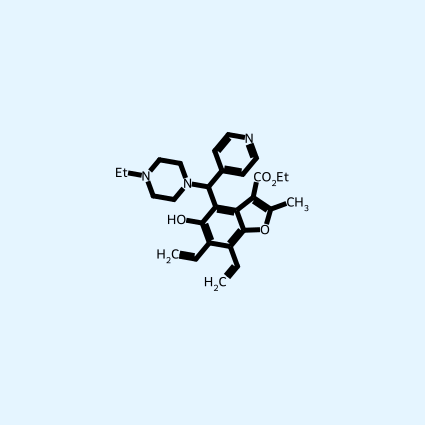 C=Cc1c(O)c(C(c2ccncc2)N2CCN(CC)CC2)c2c(C(=O)OCC)c(C)oc2c1C=C